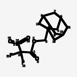 O=C(OCC12CC3CC(CC(C3)C1)C2)C(F)(F)[SH](=O)=O